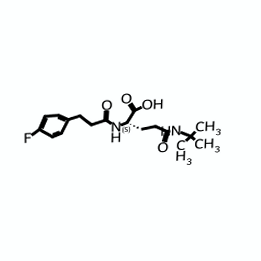 CC(C)(C)NC(=O)CC[C@H](NC(=O)CCc1ccc(F)cc1)C(=O)O